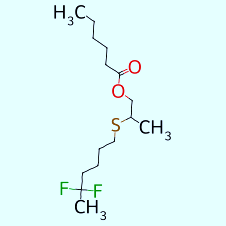 CCCCCC(=O)OCC(C)SCCCCC(C)(F)F